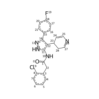 O=C(Cc1ccccc1Cl)Nc1[nH]nc(-c2ccc(F)cc2)c1C1C=CN=CC1